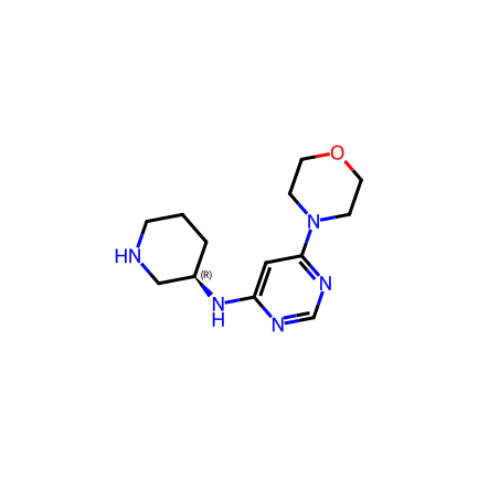 c1nc(N[C@@H]2CCCNC2)cc(N2CCOCC2)n1